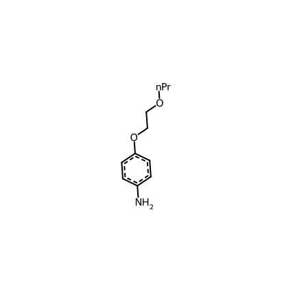 CCCOCCOc1ccc(N)cc1